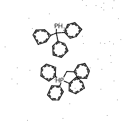 PC(c1ccccc1)(c1ccccc1)c1ccccc1.c1ccc(C[PH](c2ccccc2)(c2ccccc2)c2ccccc2)cc1